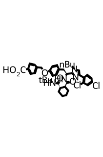 CCCCn1cc(-c2ccc(Cl)cc2Cl)nc1[C@H](Cc1ccc(OCc2ccc(C(=O)O)cc2)cc1)NC(=O)[C@H]1CCCC[C@@H]1C(=O)NC(C)(C)C